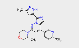 Cc1ccc(-c2cc(N3CCOC[C@H]3C)nn3c(-c4cc(C)n[nH]4)ncc23)cn1